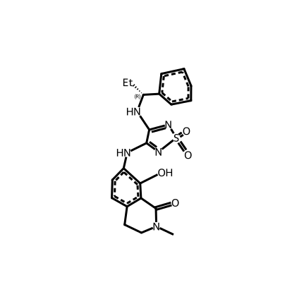 CC[C@@H](NC1=NS(=O)(=O)N=C1Nc1ccc2c(c1O)C(=O)N(C)CC2)c1ccccc1